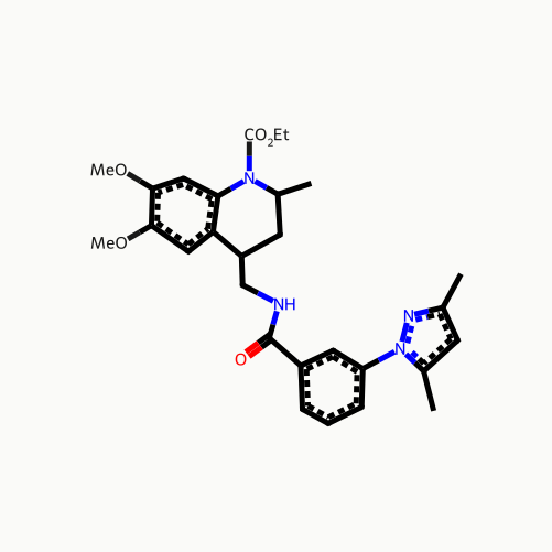 CCOC(=O)N1c2cc(OC)c(OC)cc2C(CNC(=O)c2cccc(-n3nc(C)cc3C)c2)CC1C